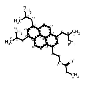 CCC(=O)OCCc1cc(CC(C)C)c2ccc3c(CC(C)C)cc(CC(C)C)c4ccc1c2c43